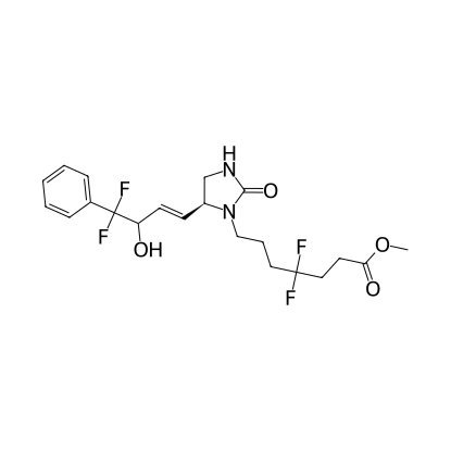 COC(=O)CCC(F)(F)CCCN1C(=O)NC[C@@H]1/C=C/C(O)C(F)(F)c1ccccc1